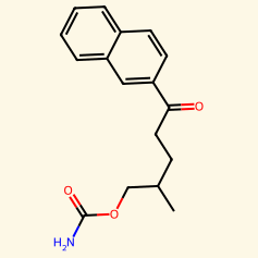 CC(CCC(=O)c1ccc2ccccc2c1)COC(N)=O